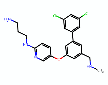 CNCc1cc(Oc2ccc(NCCCN)nc2)cc(-c2cc(Cl)cc(Cl)c2)c1